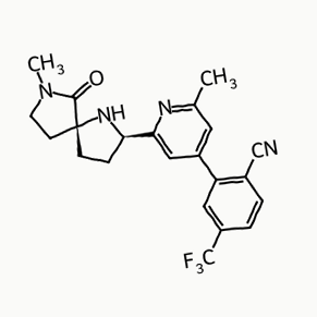 Cc1cc(-c2cc(C(F)(F)F)ccc2C#N)cc([C@H]2CC[C@]3(CCN(C)C3=O)N2)n1